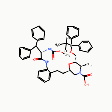 COC(=O)N[C@H](C(=O)Nc1ccccc1CC[C@@H]1CN(C(=O)O)[C@H](C)[C@@H](CO[Si](c2ccccc2)(c2ccccc2)C(C)(C)C)O1)C(c1ccccc1)c1ccccc1